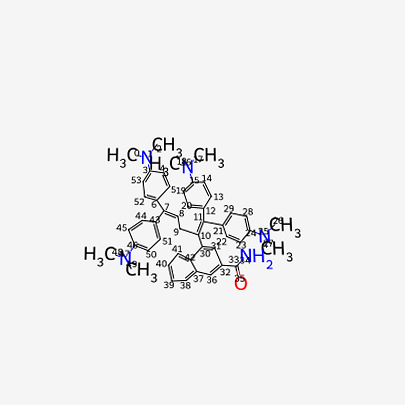 CN(C)c1ccc(C(=CCC(=C(c2ccc(N(C)C)cc2)c2ccc(N(C)C)cc2)c2cc(C(N)=O)cc3ccccc23)c2ccc(N(C)C)cc2)cc1